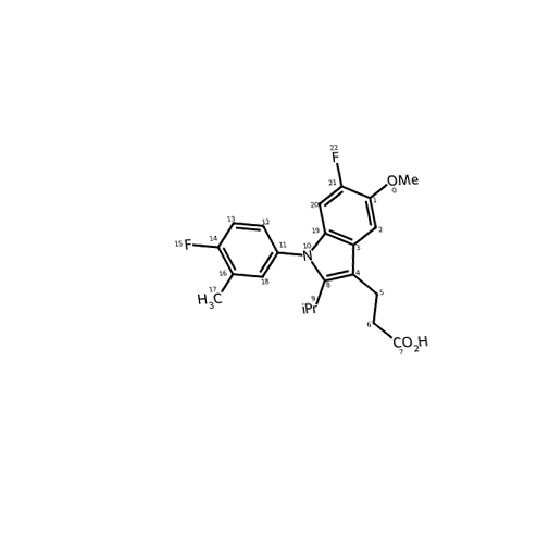 COc1cc2c(CCC(=O)O)c(C(C)C)n(-c3ccc(F)c(C)c3)c2cc1F